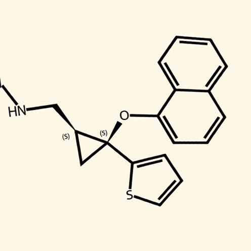 INC[C@@H]1C[C@@]1(Oc1cccc2ccccc12)c1cccs1